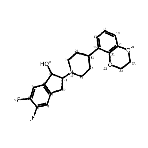 OC1c2cc(F)c(F)cc2CC1N1CCC(c2cccc3c2OCCO3)CC1